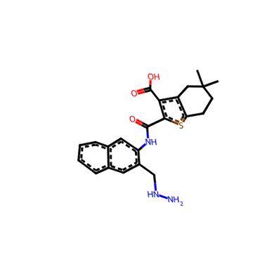 CC1(C)CCc2sc(C(=O)Nc3cc4ccccc4cc3CNN)c(C(=O)O)c2C1